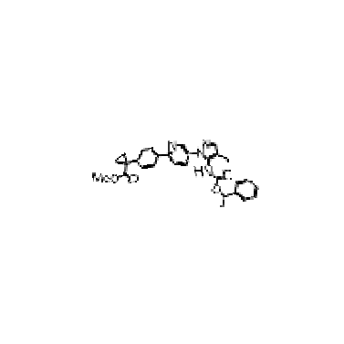 COC(=O)C1(c2ccc(-c3ccc(-n4ncc(C)c4NC(=O)O[C@H](C)c4ccccc4)cn3)cc2)CC1